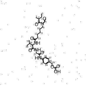 CCC(C)C(=O)N(C=O)CCCCCC(=O)NC(C(=O)NCC(=O)Nc1ccc(COC(=O)O)cc1)C(C)C